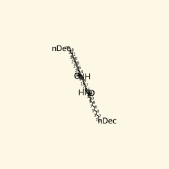 CCCCCCCCCCCCCCCCCCCCCC(=O)NCCCCCCNC(=O)CCCCCCCCCCCCCCCCCCCCC